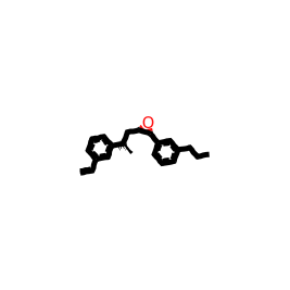 C=Cc1cccc([C@H](C)CC2OC2c2cccc(CCC)c2)c1